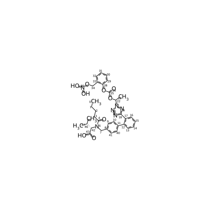 CCCCC(=O)N(Cc1ccc(-c2ccccc2-c2nnn(C(C)OC(=O)Oc3ccccc3CON(O)O)n2)cc1)[C@H](C(=O)O)C(C)C